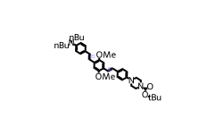 CCCCN(CCCC)c1ccc(/C=C/c2cc(OC)c(/C=C/c3ccc(N4CCN(C(=O)OC(C)(C)C)CC4)cc3)cc2OC)cc1